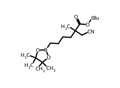 CC(C)(C)OC(=O)C(C)(CC#N)CCCCB1OC(C)(C)C(C)(C)O1